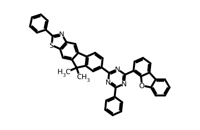 CC1(C)c2cc(-c3nc(-c4ccccc4)nc(-c4cccc5c4oc4ccccc45)n3)ccc2-c2cc3nc(-c4ccccc4)sc3cc21